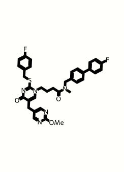 COc1ncc(Cc2cn(CCCC(=O)N(C)Cc3ccc(-c4ccc(F)cc4)cc3)c(SCc3ccc(F)cc3)nc2=O)cn1